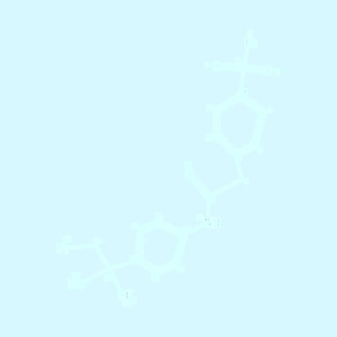 CCS(=O)(=O)c1ccc(CC(=O)Nc2ccc(C(O)(CC(C)C)C(F)(F)F)cc2)cc1